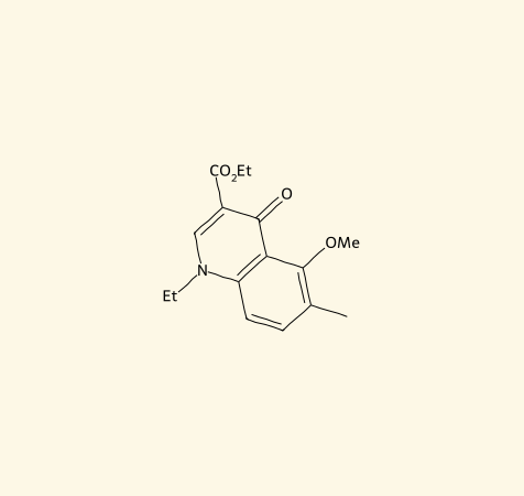 CCOC(=O)c1cn(CC)c2ccc(C)c(OC)c2c1=O